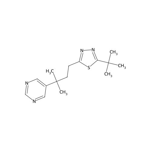 CC(C)(C)c1nnc(CCC(C)(C)c2cncnc2)s1